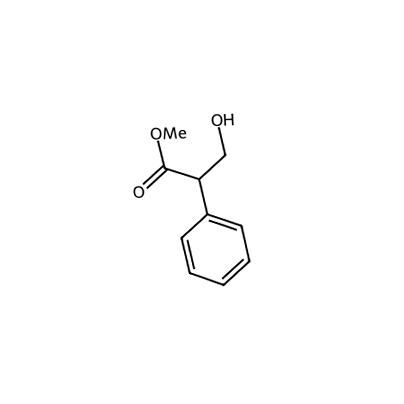 COC(=O)C(CO)c1ccccc1